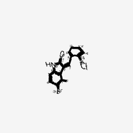 Cc1c(Br)ccc2c1C(=Cc1ccccc1Cl)C(=O)N2